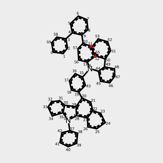 c1ccc(-c2ccccc2-c2ccc(N(c3cccc(-c4cc5ccccc5c5c4c4ccccc4n5-c4ccccc4)c3)c3ccccc3-c3ccccc3)cc2)cc1